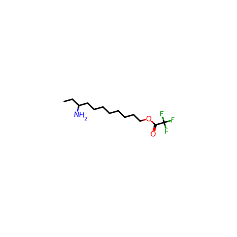 CCC(N)CCCCCCCCOC(=O)C(F)(F)F